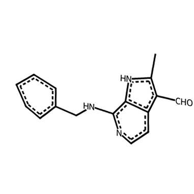 Cc1[nH]c2c(NCc3ccccc3)nccc2c1C=O